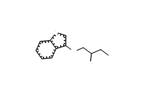 CCC(O)C[Se]c1c[nH]c2ccccc12